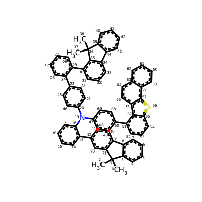 CC1(C)c2ccccc2-c2ccc(-c3ccccc3N(c3ccc(-c4ccccc4-c4cccc5c4C(C)(C)c4ccccc4-5)cc3)c3ccc(-c4cccc5sc6c7ccccc7ccc6c45)cc3)cc21